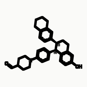 O=CC1CCN(c2ccc([C@@H]3c4ccc(O)cc4CC[C@@H]3c3ccc4c(c3)CCCC4)cc2)CC1